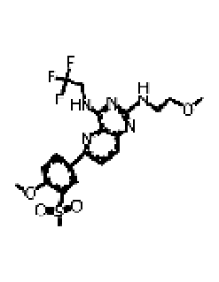 COCCNc1nc(NCC(F)(F)F)c2nc(-c3ccc(OC)c(S(C)(=O)=O)c3)ccc2n1